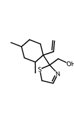 C=CC1(C2(CO)N=CCS2)CCC(C)CC1C